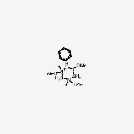 CON1[SiH2][N+](C)(OC)[SiH2][N+](C)(OC)[SiH]1c1ccccc1